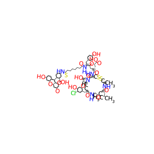 CC(C)C[C@@H]1CC(=O)CNC(=O)[C@H](Cc2ccc(O)c(Cl)c2)CC(=O)[C@H]2C[C@@H](O)CN2C(=O)[C@@H](NC(=O)[C@@H](CCC(=O)O)CC(=O)[C@H](Cc2ccc(O)cc2)NC(=O)CCCCCCC(=S)Nc2ccc(-c3c4ccc(=O)cc-4oc4cc(O)ccc34)c(C(=O)O)c2)CSSC[C@@H](C)NC1=O